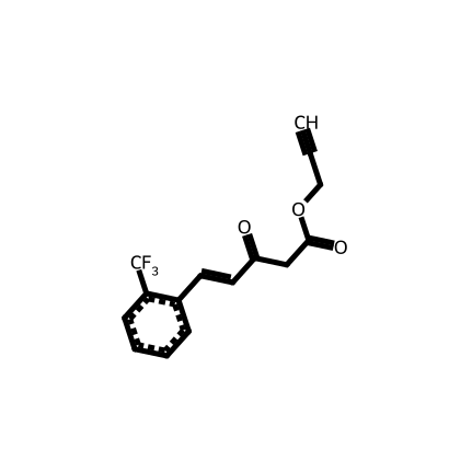 C#CCOC(=O)CC(=O)C=Cc1ccccc1C(F)(F)F